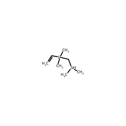 C=C[Si](C)(C)C[SiH](C)C